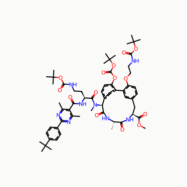 COC(=O)[C@@H]1Cc2ccc(OCCNC(=O)OC(C)(C)C)c(c2)-c2cc(ccc2OC(=O)OC(C)(C)C)[C@H](N(C)C(=O)[C@H](CCNC(=O)OC(C)(C)C)NC(=O)c2c(C)nc(-c3ccc(C(C)(C)C)cc3)nc2C)C(=O)N[C@@H](C)C(=O)N1